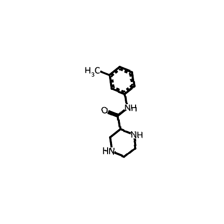 Cc1cccc(NC(=O)C2CNCCN2)c1